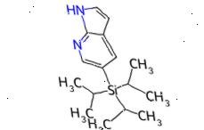 CC(C)[Si](c1cnc2[nH]ccc2c1)(C(C)C)C(C)C